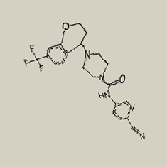 N#Cc1ccc(NC(=O)N2CCN(C3CCOc4cc(C(F)(F)F)ccc43)CC2)cn1